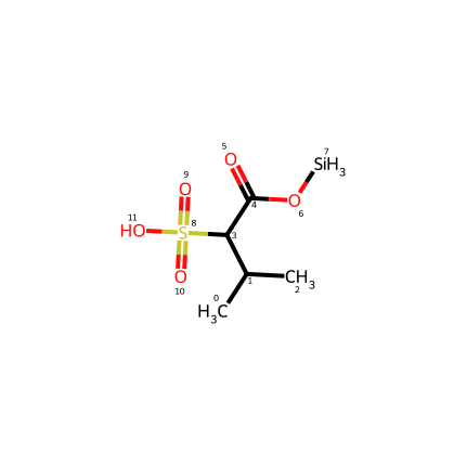 CC(C)C(C(=O)O[SiH3])S(=O)(=O)O